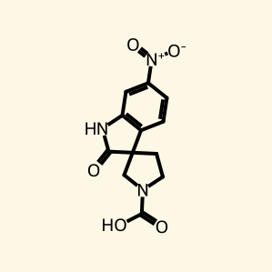 O=C(O)N1CCC2(C1)C(=O)Nc1cc([N+](=O)[O-])ccc12